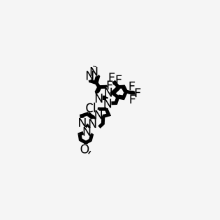 CCC1CC(N(Cc2cc(C(F)(F)F)cc(C(F)(F)F)c2)c2ncc(-c3cnn(C)c3)cn2)CN1c1nc(N2CCC(OC)CC2)ncc1Cl